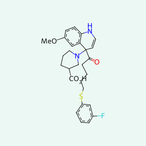 COc1ccc2c(c1)C(C(=O)CCCCSc1cccc(F)c1)(N1CCCC(C(=O)O)C1)C=CN2